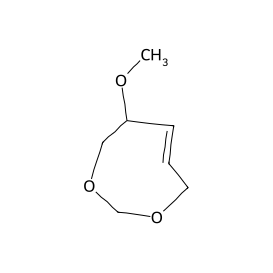 COC1/C=C/COCOC1